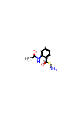 CC(=O)Nc1ccccc1C(=O)SN